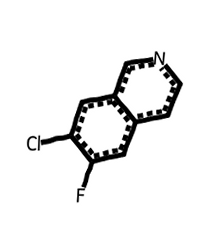 Fc1cc2ccncc2cc1Cl